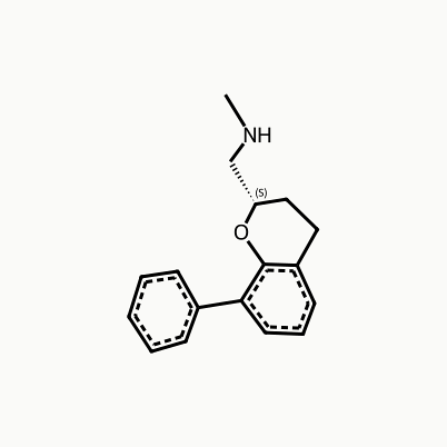 CNC[C@@H]1CCc2cccc(-c3ccccc3)c2O1